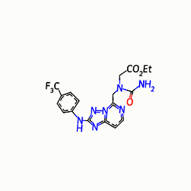 CCOC(=O)CN(Cc1nccc2nc(Nc3ccc(C(F)(F)F)cc3)nn12)C(N)=O